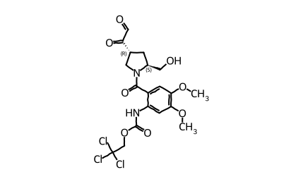 COc1cc(NC(=O)OCC(Cl)(Cl)Cl)c(C(=O)N2C[C@H](C(=O)C=O)C[C@H]2CO)cc1OC